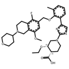 CCO[C@@H]1CN(c2nc(-c3cccc(C)c3OCc3cc(OC)c4c(c3F)CCN(C3CCOCC3)C4)cs2)CC[C@@H]1C(=O)O